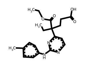 CCOC(=O)C(CC)(CCC(=O)O)c1ccnc(Nc2ccc(C)cc2)n1